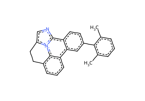 Cc1cccc(C)c1-c1ccc2c(c1)c1cccc3c1n1c(cnc21)CC3